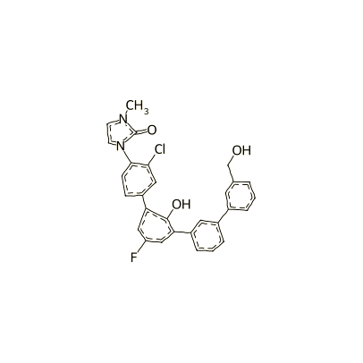 Cn1ccn(-c2ccc(-c3cc(F)cc(-c4cccc(-c5cccc(CO)c5)c4)c3O)cc2Cl)c1=O